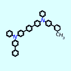 C[C@H]1C=C(c2ccc(N(c3ccccc3)c3ccc(-c4ccc(-c5ccc(N(c6ccccc6)c6ccc(-c7ccccc7)cc6)cc5)cc4)cc3)cc2)C=CC1